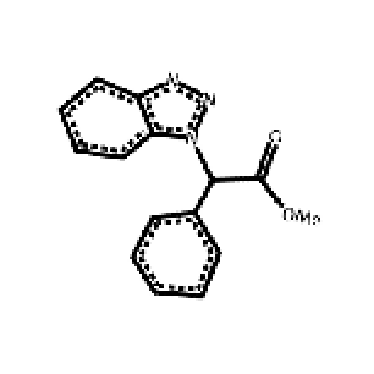 COC(=O)C(c1ccccc1)n1nnc2ccccc21